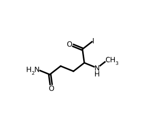 CNC(CCC(N)=O)C(=O)I